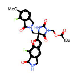 COc1ccc2c(c1F)C(=O)N(C[C@@]1(c3cc4cc5c(c(F)c4o3)C(=O)NC5)NC(=O)N(COC(=O)C(C)(C)C)C1=O)C2